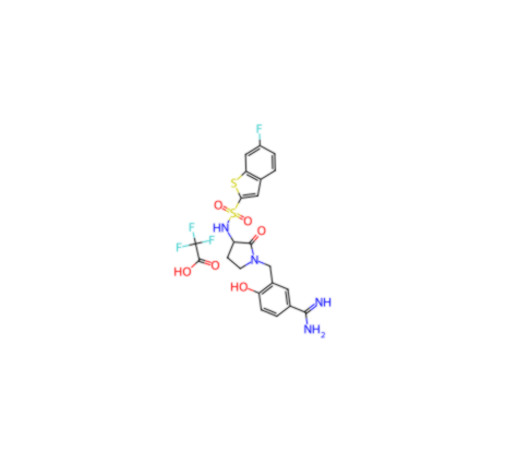 N=C(N)c1ccc(O)c(CN2CCC(NS(=O)(=O)c3cc4ccc(F)cc4s3)C2=O)c1.O=C(O)C(F)(F)F